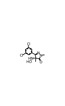 CN1N=C(c2cc(Cl)cc(Cl)c2)C(C)(NO)C1=O